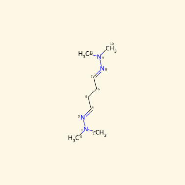 CN(C)/N=C/CC/C=N/N(C)C